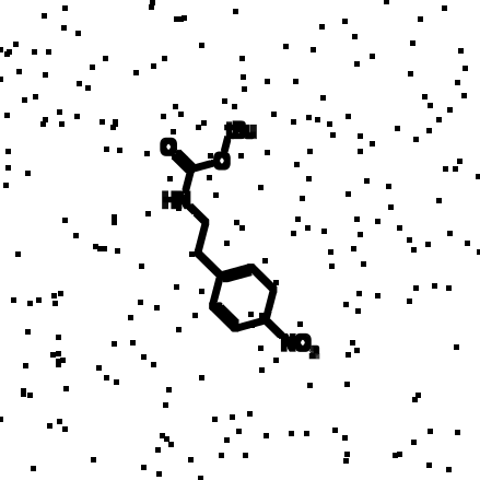 CC(C)(C)OC(=O)NCCC1=CCC([N+](=O)[O-])C=C1